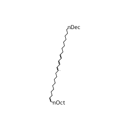 CCCCCCCC/C=C\CCCCCCCC/[C]=C/C=CC=CCCCCCCCCCCCCCCCCCC